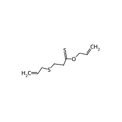 C=CCOC(=S)CCSCC=C